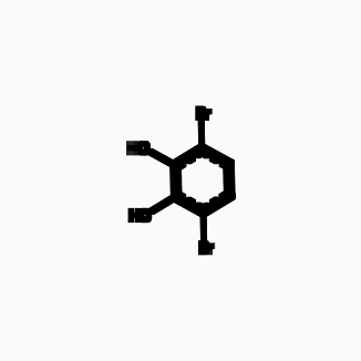 Oc1c(Br)ccc(Br)c1O